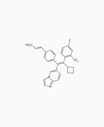 O=C(O)/C=C/c1ccc(/C(=C(\c2ccc(F)cc2C(F)(F)F)C2CCC2)c2ccc3nccn3c2)cc1